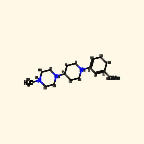 COC1=CC(N2CCC(N3CCN(C)CC3)CC2)=CC[CH]1